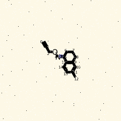 C#CCO/N=C1\CCCc2cc(C)ccc21